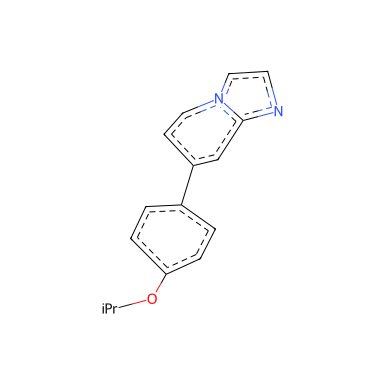 CC(C)Oc1ccc(-c2ccn3ccnc3c2)cc1